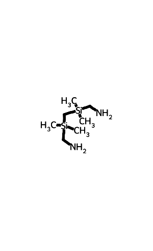 C[Si](C)(CN)C[Si](C)(C)CN